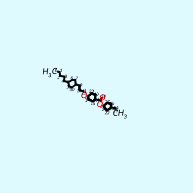 CCCCCC1CCC(/C=C/COc2ccc(C(=O)Oc3ccc(CC)cc3)cc2)CC1